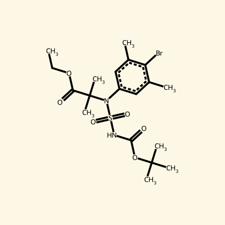 CCOC(=O)C(C)(C)N(c1cc(C)c(Br)c(C)c1)S(=O)(=O)NC(=O)OC(C)(C)C